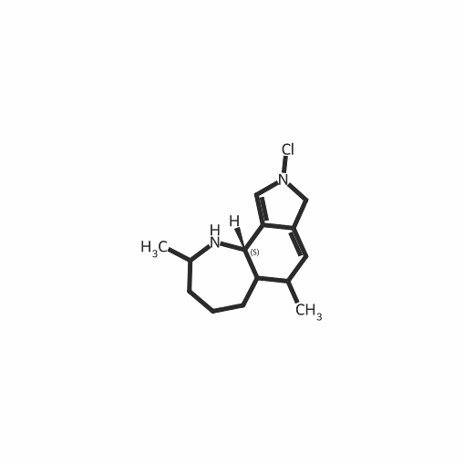 CC1CCCC2C(C)C=C3CN(Cl)C=C3[C@H]2N1